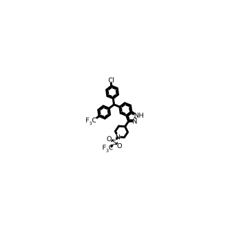 O=S(=O)(N1CCC(c2n[nH]c3ccc(C(c4ccc(Cl)cc4)c4ccc(C(F)(F)F)cc4)cc23)CC1)C(F)(F)F